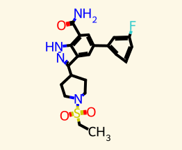 CCS(=O)(=O)N1CCC(c2n[nH]c3c(C(N)=O)cc(-c4cccc(F)c4)cc23)CC1